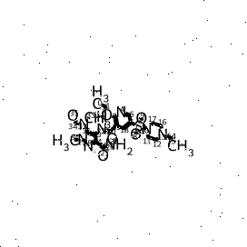 CCOc1ncc(S(=O)(=O)N2CCN(CC)CC2)cc1C(=O)Nc1c(C(N)=O)nn(C)c1N(C)C=O